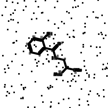 COC(CNC(=O)c1ccccc1O)OC